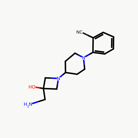 N#Cc1ccccc1N1CCC(N2CC(O)(CN)C2)CC1